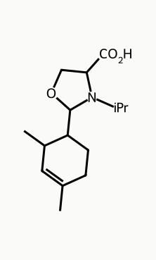 CC1=CC(C)C(C2OCC(C(=O)O)N2C(C)C)CC1